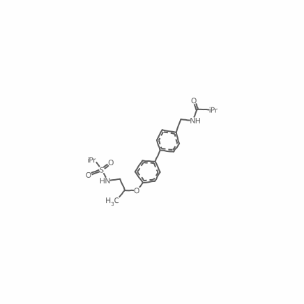 CC(CNS(=O)(=O)C(C)C)Oc1ccc(-c2ccc(CNC(=O)C(C)C)cc2)cc1